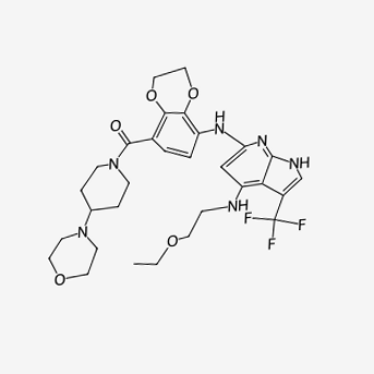 CCOCCNc1cc(Nc2ccc(C(=O)N3CCC(N4CCOCC4)CC3)c3c2OCCO3)nc2[nH]cc(C(F)(F)F)c12